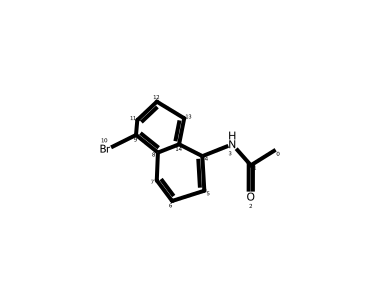 CC(=O)Nc1cccc2c(Br)[c]ccc12